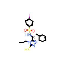 CCCn1c(S)nnc1[C@@H](CC1=CC=CCC1)NS(=O)(=O)c1ccc(I)cc1